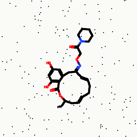 CCCC1C/C=C/CC/C=C/C(=N/OCC(=O)N2CCCCC2)Cc2cc(O)cc(O)c2C(=O)O1